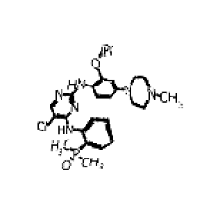 CC(C)Oc1cc(N2CCN(C)CC2)ccc1Nc1ncc(Cl)c(Nc2ccccc2P(C)(C)=O)n1